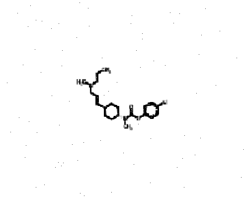 CCCN(C)CC=C[C@H]1CC[C@H](N(C)C(=O)Oc2ccc(Cl)cc2)CC1